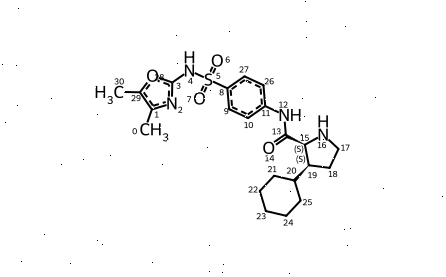 Cc1nc(NS(=O)(=O)c2ccc(NC(=O)[C@H]3NCC[C@H]3C3CCCCC3)cc2)oc1C